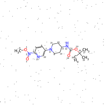 CO[N+](=O)c1ccc(N2CCC(NC(=O)OC(C)(C)C)CC2)cn1